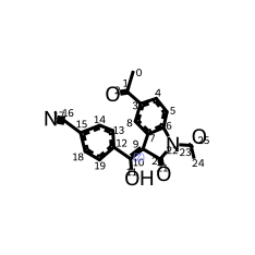 CC(=O)c1ccc2c(c1)/C(=C(/O)c1ccc(C#N)cc1)C(=O)N2C(C)=O